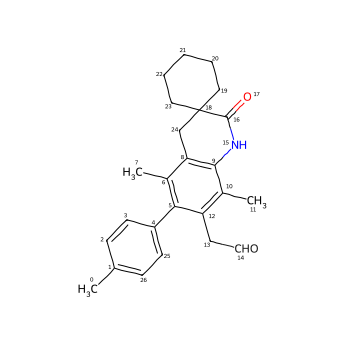 Cc1ccc(-c2c(C)c3c(c(C)c2CC=O)NC(=O)C2(CCCCC2)C3)cc1